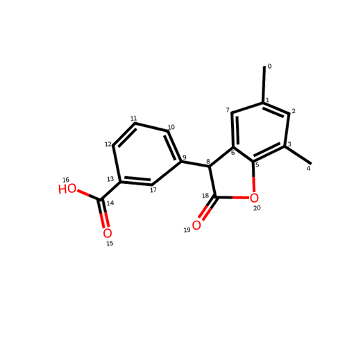 Cc1cc(C)c2c(c1)C(c1cccc(C(=O)O)c1)C(=O)O2